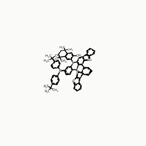 Cc1cc2c(cc1N1c3cc(N(c4ccc(C(C)(C)C)cc4)c4ccc(C(C)(C)C)cc4)ccc3B3c4c1cc1c(oc5ccccc51)c4-c1cccc4c5c6ccccc6oc5n3c14)C(C)(C)CCC2(C)C